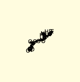 CN1C(=O)CCC(N(C)Cc2ccc(OCCOCCNC(=O)c3ccc(NCc4ccc(C(F)(F)F)cc4)c(-c4cn(C)cn4)c3)cc2C=O)C1=O